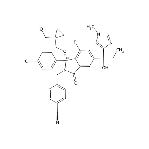 CCC(O)(c1cc(F)c2c(c1)C(=O)N(Cc1ccc(C#N)cc1)[C@@]2(OCC1(CO)CC1)c1ccc(Cl)cc1)c1cn(C)cn1